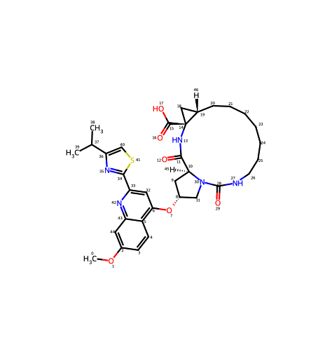 COc1ccc2c(O[C@@H]3C[C@H]4C(=O)N[C@]5(C(=O)O)C[C@@H]5CCCCCCCNC(=O)N4C3)cc(-c3nc(C(C)C)cs3)nc2c1